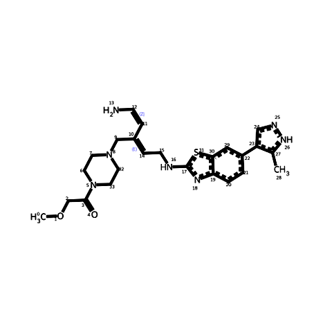 COCC(=O)N1CCN(CC(/C=C\N)=C/CNc2nc3ccc(-c4cn[nH]c4C)cc3s2)CC1